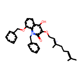 CC(C)=CCC/C(C)=C/COc1c(O)c2cccc(OCc3ccccc3)c2n(Cc2ccccc2)c1=O